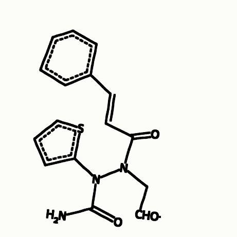 NC(=O)N(c1cccs1)N(C[C]=O)C(=O)/C=C/c1ccccc1